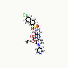 CCCOC(=O)NC1(CN2CCN(S(=O)(=O)c3ccc4cc(Cl)ccc4c3)CC2=O)CCN(c2ccncc2)CC1